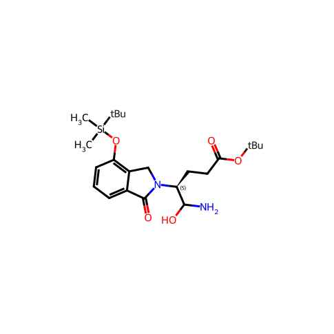 CC(C)(C)OC(=O)CC[C@@H](C(N)O)N1Cc2c(O[Si](C)(C)C(C)(C)C)cccc2C1=O